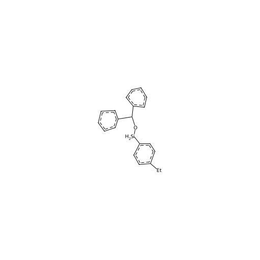 CCc1ccc([SiH2]OC(c2ccccc2)c2ccccc2)cc1